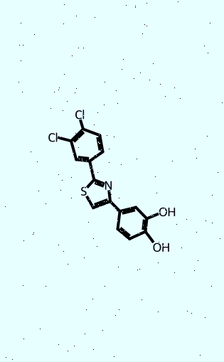 Oc1ccc(-c2csc(-c3ccc(Cl)c(Cl)c3)n2)cc1O